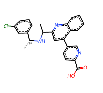 CC(N[C@H](C)c1cccc(Cl)c1)c1cc(-c2ccc(C(=O)O)nc2)c2ccccc2n1